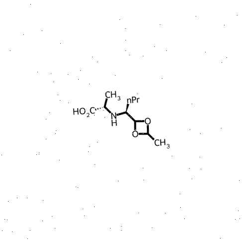 CCC[C@H](N[C@@H](C)C(=O)O)C1OC(C)O1